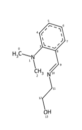 CN(C)c1ccccc1C=NCCO